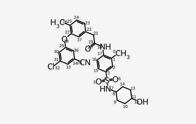 Cc1cc(S(=O)(=O)NC2CCC(O)CC2)ccc1NC(=O)Cc1ccc(C)c(Oc2cc(Cl)cc(C#N)c2)c1